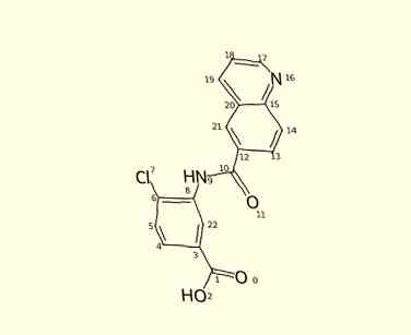 O=C(O)c1ccc(Cl)c(NC(=O)c2ccc3ncccc3c2)c1